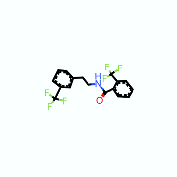 O=C(NCCc1cccc(C(F)(F)F)c1)c1ccccc1C(F)(F)F